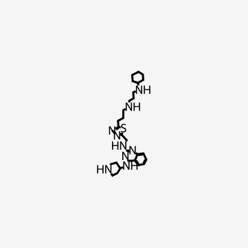 c1ccc2c(NC3CCNCC3)nc(NCc3nnc(CCCNCCCNC4CCCCC4)s3)nc2c1